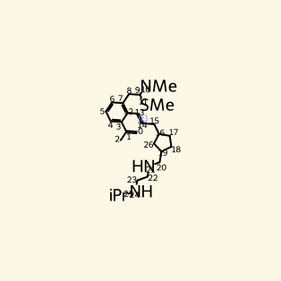 C=C(C)c1cccc(CC(NC)SC)c1/C=C/CC1CCC(CNCCNC(C)C)C1